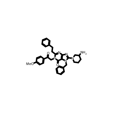 COc1ccc(C(=O)Cn2c(CCc3ccccc3)nc3nc(N4CCCC(N)C4)n(Cc4ccccc4)c3c2=O)cc1